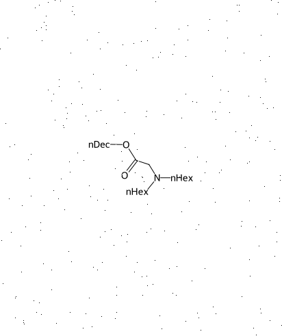 CCCCCCCCCCOC(=O)CN(CCCCCC)CCCCCC